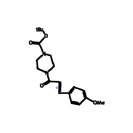 COc1ccc(/C=C/C(=O)N2CCN(C(=O)OC(C)(C)C)CC2)cc1